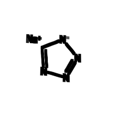 [Na+].c1nnn[n-]1